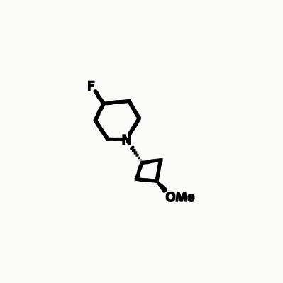 CO[C@H]1C[C@H](N2CCC(F)CC2)C1